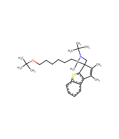 CC1=C(C)C2(CN(C(C)(C)C)[Si]2(C)CCCCCCOC(C)(C)C)c2sc3ccccc3c21